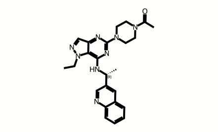 CCn1ncc2nc(N3CCN(C(C)=O)CC3)nc(N[C@H](C)c3cnc4ccccc4c3)c21